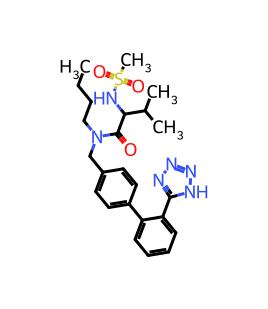 CCCCN(Cc1ccc(-c2ccccc2-c2nnn[nH]2)cc1)C(=O)C(NS(C)(=O)=O)C(C)C